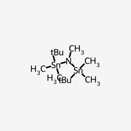 C[N]([Sn]([CH3])([CH3])[C](C)(C)C)[Sn]([CH3])([CH3])[C](C)(C)C